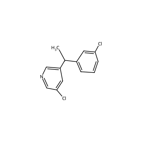 C[C](c1cccc(Cl)c1)c1cncc(Cl)c1